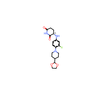 O=C1CC[C@@H](Nc2ccc(N3CCC(C4OCCO4)CC3)c(F)c2)C(=O)N1